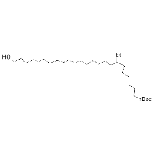 CCCCCCCCCCCCCCCCC(CC)CCCCCCCCCCCCCCCCCO